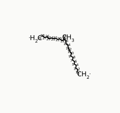 [CH2]CCCCCCCCCCCCCCCCC(C)CCCCCCCCCC[CH2]